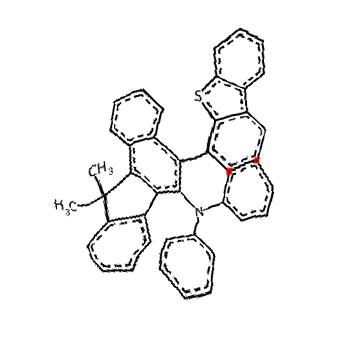 CC1(C)c2ccccc2-c2c(N(c3ccccc3)c3ccccc3)c(-c3cccc4c3sc3ccccc34)c3ccccc3c21